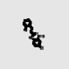 O=C(CCc1ccccc1Cl)Nc1ccc(Cl)cc1C(=O)O